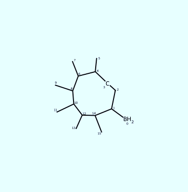 BC1CCC(C)C(C)C(C)C(C)C(C)C1C